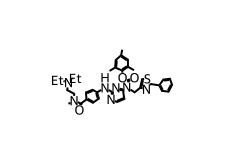 CCN(CC)CCN(C)C(=O)c1ccc(Nc2nccc(N(Cc3csc(-c4ccccc4)n3)C(=O)Oc3c(C)cc(C)cc3C)n2)cc1